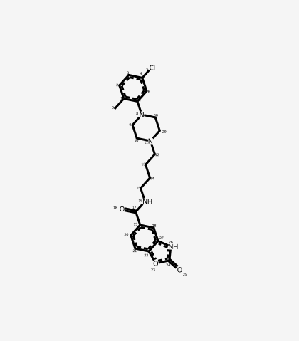 Cc1ccc(Cl)cc1N1CCN(CCCCNC(=O)c2ccc3oc(=O)[nH]c3c2)CC1